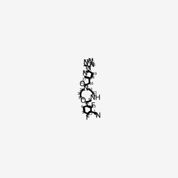 N#Cc1c(F)ccc([C@@H]2CNCCN(C(=O)Cc3ccc(-n4cnnn4)nc3)CCCO2)c1F